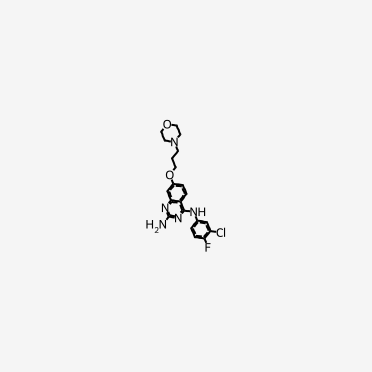 Nc1nc(Nc2ccc(F)c(Cl)c2)c2ccc(OCCCN3CCOCC3)cc2n1